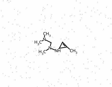 CC1=CC1NN(C)CN(C)C